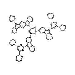 c1ccc(-c2nc(-c3ccccc3)nc(-n3c4ccccc4c4cc(-c5nc(-c6ccc7c(c6)c6ccccc6n7-c6nc(-c7ccccc7)nc(-c7ccccc7)n6)nc(-n6c7ccccc7c7cc8c(cc76)c6ccccc6n8-c6ccccc6)n5)ccc43)n2)cc1